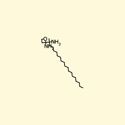 CCCCCCCCCCCCCCCCCCC(C)(N)C1(N)CCO1